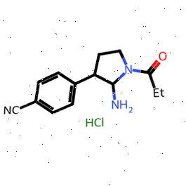 CCC(=O)N1CCC(c2ccc(C#N)cc2)C1N.Cl